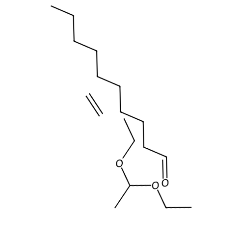 C=C.CCCCCCCCCC=O.CCOC(C)OCC